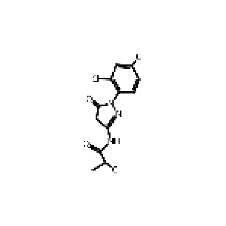 CC(Cl)C(=O)NC1=NN(c2ccc(Cl)cc2Cl)C(=O)C1